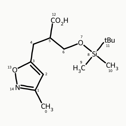 Cc1cc(CC(CO[Si](C)(C)C(C)(C)C)C(=O)O)on1